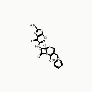 Nc1nc(C(=O)C(=O)N[C@@H]2C(=O)N3C(C(=O)[O-])=C(C[n+]4ccccc4)CS[C@H]23)c(Cl)s1